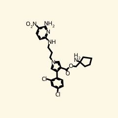 Nc1nc(NCCCn2cc(C(=O)OCC3(N)CCCC3)c(-c3ccc(Cl)cc3Cl)c2)ccc1[N+](=O)[O-]